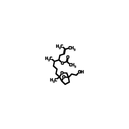 CC(=O)OC(CC=C(C)C)C(C)CCCC1(C)OCC2(CCO)CCC1O2